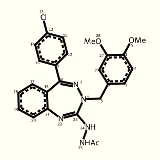 COc1ccc(CN2N=C(c3ccc(Cl)cc3)c3ccccc3N=C2NNC(C)=O)cc1OC